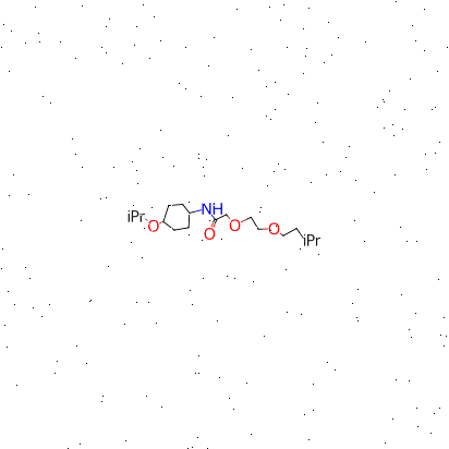 CC(C)CCOCCOCC(=O)NC1CCC(OC(C)C)CC1